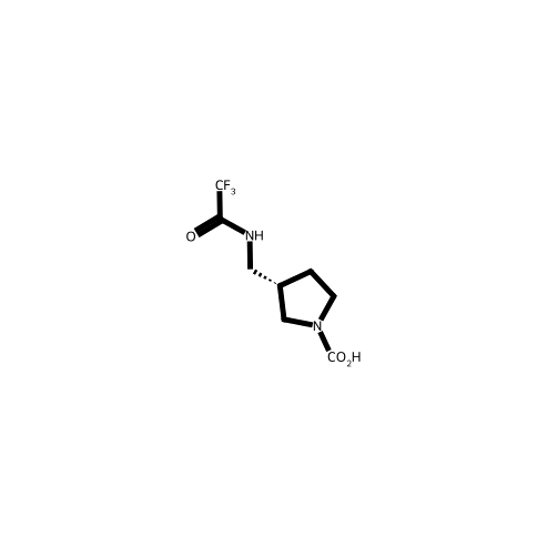 O=C(O)N1CC[C@@H](CNC(=O)C(F)(F)F)C1